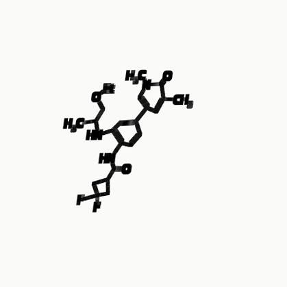 CCOCC(C)Nc1cc(-c2cc(C)c(=O)n(C)c2)ccc1NC(=O)C1CC(F)(F)C1